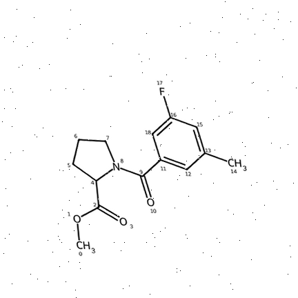 COC(=O)C1CCCN1C(=O)c1cc(C)cc(F)c1